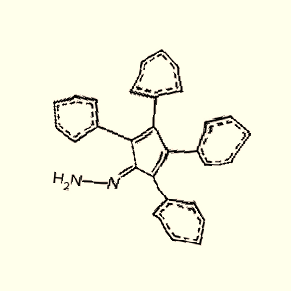 NN=C1C(c2ccccc2)=C(c2ccccc2)C(c2ccccc2)=C1c1ccccc1